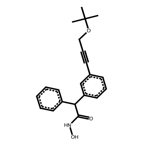 CC(C)(C)OCC#Cc1cccc(C(C(=O)NO)c2ccccc2)c1